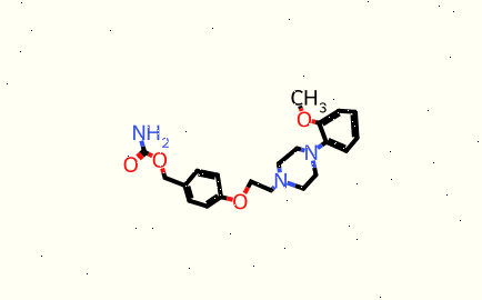 COc1ccccc1N1CCN(CCOc2ccc(COC(N)=O)cc2)CC1